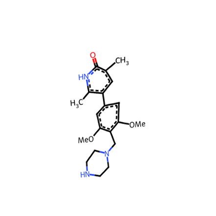 COc1cc(-c2cc(C)c(=O)[nH]c2C)cc(OC)c1CN1CCNCC1